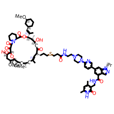 CO[C@H]1CCC[C@@H](/C=C(\C)[C@H]2OC(=O)C3CCCCN3C(=O)C(=O)[C@]3(O)O[C@H]([C@@H](OC)C[C@@H](C)C/C(C)=C/[C@@H](CCCSCCC(=O)NCCN4CCN(c5ccc(-c6cc(C(=O)NCc7c(C)cc(C)[nH]c7=O)c7cnn(C(C)C)c7c6)cn5)CC4)C(=O)C[C@H](O)[C@H]2C)[C@@H](OC)C[C@H]3C)C1